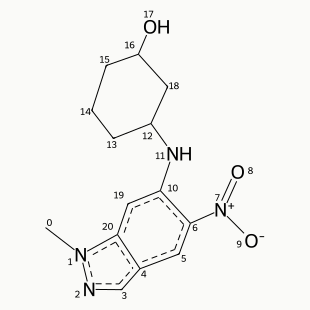 Cn1ncc2cc([N+](=O)[O-])c(NC3CCCC(O)C3)cc21